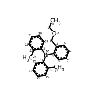 CCOCc1cccc[c]1[Bi]([c]1ccccc1C)[c]1ccccc1C